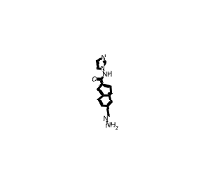 NN=Cc1ccc2cc(C(=O)Nn3ccnc3)ccc2c1